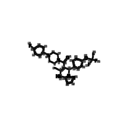 CC1=C(C(=O)N2CCN(c3ccc(F)cc3)CC2)C(c2ccc(OC(F)(F)F)cc2)n2nccc2N1